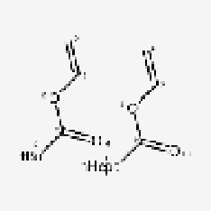 C=COC(=O)C(C)(C)C.C=COC(=O)CCCCCCC